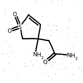 NC(=O)CC1(N)C=CS(=O)(=O)C1